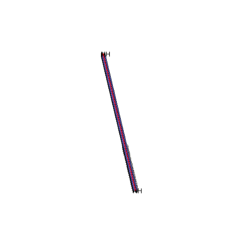 N=N/N=N/N=N/N=N/N=N/N=N/N=N/N=N/N=N/N=N/N=N/N=N/N=N/N=N/N=N/N=N/N=N/N=N/N=N/N=N/N=N/N=N/N=N/N=N/N=N/N=N/N=N/N=N/N=N/N=N/N=N/N=N/N=N/N=N/N=N/N=N/N=N/N=N/N=N/N=N/N=N/N=N/N=N/N=N/N=N/N=N/N=N/N=N/N=N/N=N/N=N/N=N/N=N/N=N/N=N/N=N/N=N/N=N/N=N/N=N/N=N/N=N/N=N/N=N/N=N/N=N/N=N/N=N/N=N/N=N/N=N/N=N/N=N/N=N/N=N